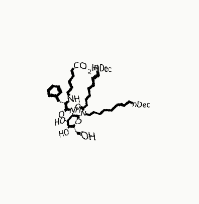 CCCCCCCCCCCCCCCCCCN(C(=O)CCCCCCCCCCCCCCCCC)[C@@H]1O[C@H](CO)[C@@H](O)[C@H](O)[C@@H]1NC(=O)[C@H](Cc1ccccc1)NCCCCCC(=O)O